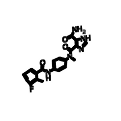 Cc1c(F)cccc1C(=O)Nc1ccc(N(C)C(=O)c2nc[nH]c2C(N)=O)cc1